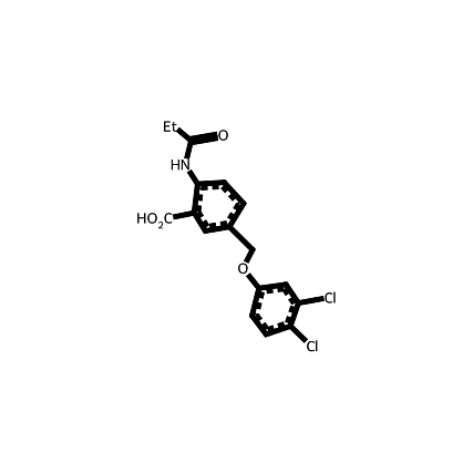 CCC(=O)Nc1ccc(COc2ccc(Cl)c(Cl)c2)cc1C(=O)O